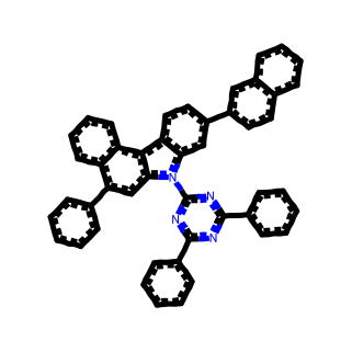 c1ccc(-c2nc(-c3ccccc3)nc(-n3c4cc(-c5ccc6ccccc6c5)ccc4c4c5ccccc5c(-c5ccccc5)cc43)n2)cc1